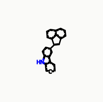 C1=C(c2ccc3[nH]c4ccccc4c3c2)c2cccc3cccc1c23